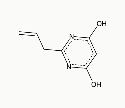 C=CCc1nc(O)cc(O)n1